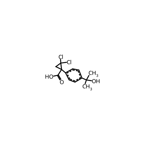 CC(C)(O)c1ccc(C2(C(=O)O)CC2(Cl)Cl)cc1